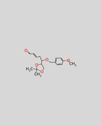 COc1ccc(COC(CC=CC=O)C2COC(C)(C)O2)cc1